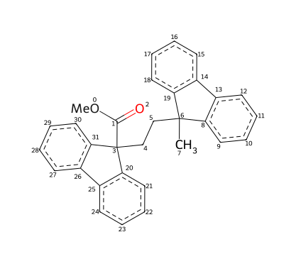 COC(=O)C1(CCC2(C)c3ccccc3-c3ccccc32)c2ccccc2-c2ccccc21